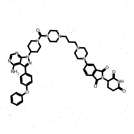 Nc1ncnc2c1c(-c1ccc(Oc3ccccc3)cc1)nn2C1CCN(C(=O)N2CCN(CCCN3CCN(c4ccc5c(c4)C(=O)N(C4CCC(=O)NC4=O)C5=O)CC3)CC2)CC1